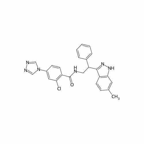 Cc1ccc2c(C(CNC(=O)c3ccc(-n4cnnc4)cc3Cl)c3ccccc3)n[nH]c2c1